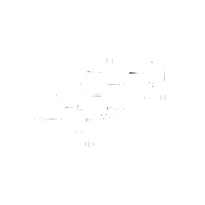 COC(=O)c1c(N(C(=O)OC(C)(C)C)C(=O)OC(C)(C)C)ccc(Br)c1OC[C@H]1CCCN1C(=O)O